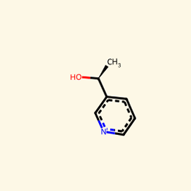 C[C@H](O)c1cccnc1